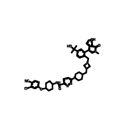 Cn1cc(-c2cc(C(C)(C)O)ccc2CN2CC(CC3CCN(c4ccc(C(=O)NC5CCC(Oc6ccc(C#N)c(Cl)c6)CC5)nn4)CC3)C2)c2cc[nH]c2c1=O